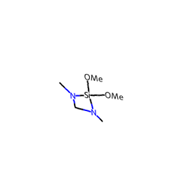 CO[Si]1(OC)N(C)CN1C